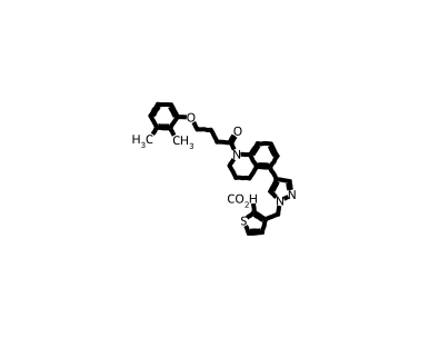 Cc1cccc(OCCCC(=O)N2CCCc3c(-c4cnn(Cc5ccsc5C(=O)O)c4)cccc32)c1C